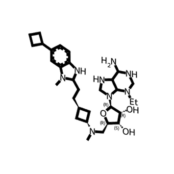 CCN1CNC(N)C2NCN([C@@H]3O[C@H](CN(C)[C@H]4C[C@H](CCC5Nc6ccc(C7CCC7)cc6N5C)C4)[C@@H](O)[C@H]3O)C21